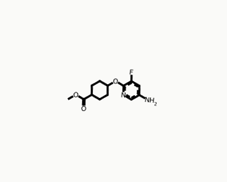 COC(=O)C1CCC(Oc2ncc(N)cc2F)CC1